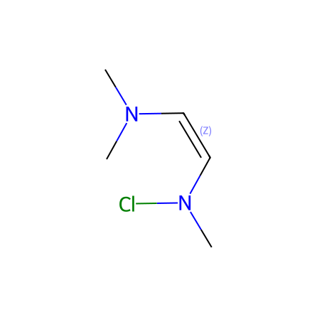 CN(C)/C=C\N(C)Cl